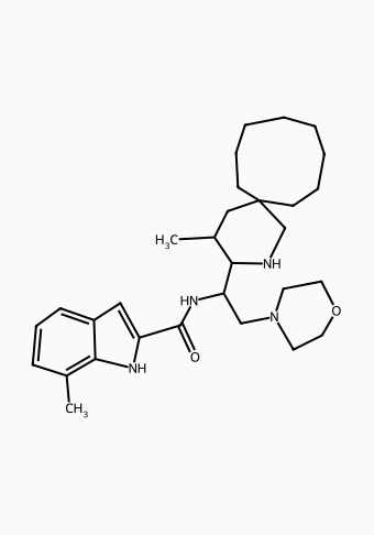 Cc1cccc2cc(C(=O)NC(CN3CCOCC3)C3NCC4(CCCCCCCC4)CC3C)[nH]c12